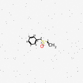 C=C[S+]([O-])Cc1ccccc1